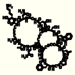 C=C1NC(=O)[C@@H]2CSCC[C@@H](NC(=O)[C@H](CC(C)C)NC(=O)[C@@H]3CCCN3C(=O)CNC(=O)[C@H](Cc3ccccc3)NC1=O)C(=O)N[C@@H](Cc1c[nH]c3ccccc13)C(=O)N[C@@H](CO)C(=O)N[C@H]1CSC[C@@H](NC(=O)[C@H](CCC(N)=O)NC(=O)[C@H](C(C)C)NC(=O)[C@@H](N)CSCC[C@H](C(=O)N[C@@H](CCCCN)C(=O)O)NC(=O)[C@H](CC(N)=O)NC(=O)CNC(=O)[C@H](CC(=O)O)NC1=O)C(=O)N2